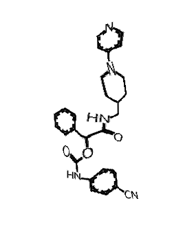 N#Cc1ccc(NC(=O)OC(C(=O)NCC2CCN(c3ccncc3)CC2)c2ccccc2)cc1